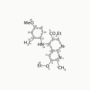 CCOC(=O)c1cnc2nc(C)c(OCC)cc2c1Nc1ccc(OC)cc1C